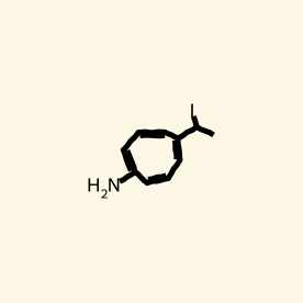 CC(I)C1=C/C=C\C(N)=C/C=C\1